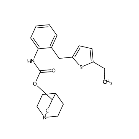 CCc1ccc(Cc2ccccc2NC(=O)OC2CN3CCC2CC3)s1